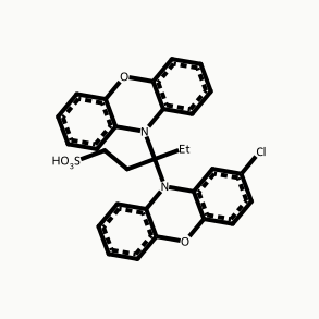 CCC(CCS(=O)(=O)O)(N1c2ccccc2Oc2ccccc21)N1c2ccccc2Oc2ccc(Cl)cc21